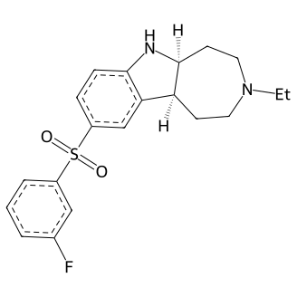 CCN1CC[C@@H]2Nc3ccc(S(=O)(=O)c4cccc(F)c4)cc3[C@@H]2CC1